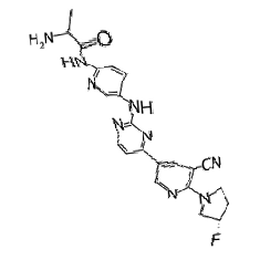 CC(N)C(=O)Nc1ccc(Nc2nccc(-c3cnc(N4CC[C@H](F)C4)c(C#N)c3)n2)cn1